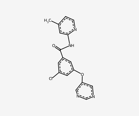 Cc1ccnc(NC(=O)c2cc(Cl)cc(Oc3cncnc3)c2)c1